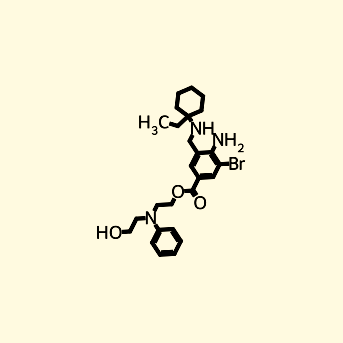 CCC1(NCc2cc(C(=O)OCCN(CCO)c3ccccc3)cc(Br)c2N)CCCCC1